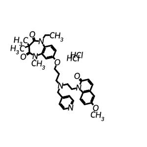 CCN1C(=O)C(C)(C)C(=O)N(C)c2cc(OCCCN(CCn3c(=O)ccc4cc(OC)ccc43)Cc3ccncc3)ccc21.Cl.Cl